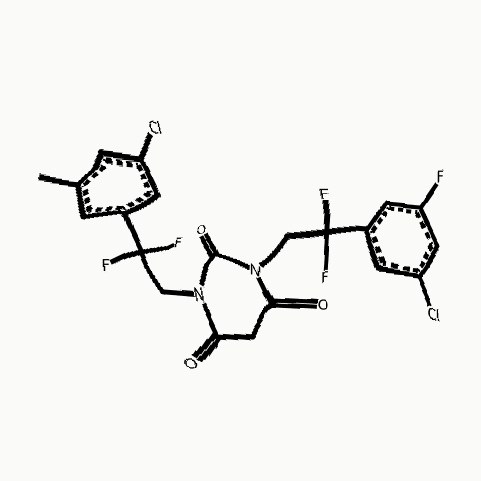 Cc1cc(Cl)cc(C(F)(F)CN2C(=O)CC(=O)N(CC(F)(F)c3cc(F)cc(Cl)c3)C2=O)c1